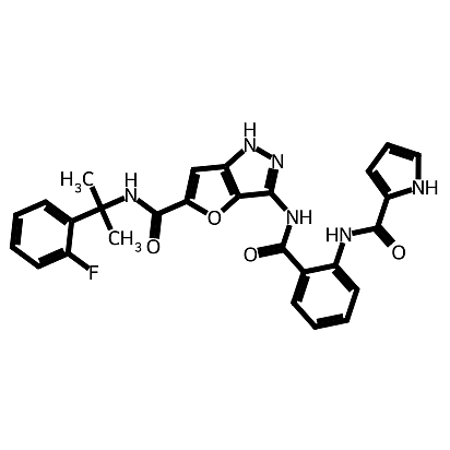 CC(C)(NC(=O)c1cc2[nH]nc(NC(=O)c3ccccc3NC(=O)c3ccc[nH]3)c2o1)c1ccccc1F